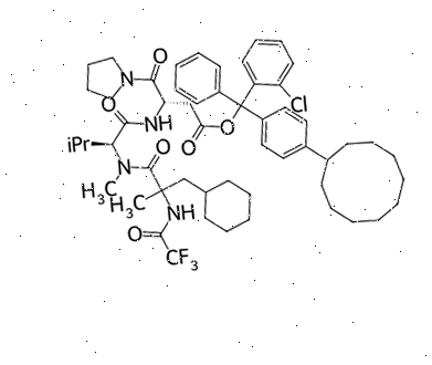 CC(C)[C@@H](C(=O)N[C@@H](CC(=O)OC(c1ccccc1)(c1ccc(C2CCCCCCCCC2)cc1)c1ccccc1Cl)C(=O)N1CCCC1)N(C)C(=O)C(C)(CC1CCCCC1)NC(=O)C(F)(F)F